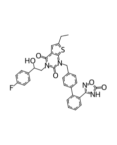 CCc1cc2c(=O)n(CC(O)c3ccc(F)cc3)c(=O)n(Cc3ccc(-c4ccccc4-c4noc(=O)[nH]4)cc3)c2s1